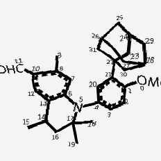 COc1ccc(N2c3cc(C)c(C=O)cc3C(C)CC2(C)C)cc1C12CC3CC(CC(C3)C1)C2